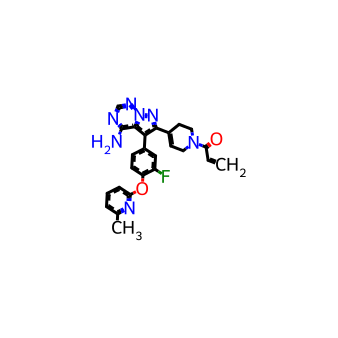 C=CC(=O)N1CC=C(c2nn3ncnc(N)c3c2-c2ccc(Oc3cccc(C)n3)c(F)c2)CC1